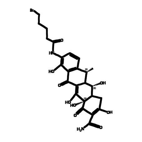 C[C@H]1c2ccc(NC(=O)CCCCBr)c(O)c2C(=O)C2=C(O)[C@]3(O)C(=O)C(C(N)=O)=C(O)CC3[C@@H](O)C21